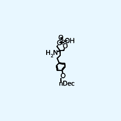 CCCCCCCCCCCOc1ccc(CCC2(N)COP(=O)(O)OC2)cc1